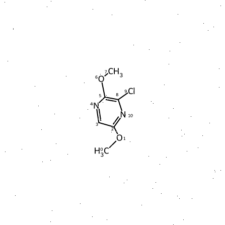 COc1cnc(OC)c(Cl)n1